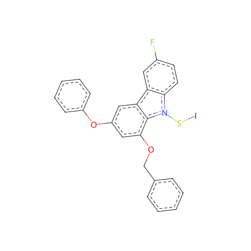 Fc1ccc2c(c1)c1cc(Oc3ccccc3)cc(OCc3ccccc3)c1n2SI